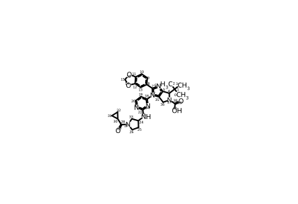 CC(C)(C)C1c2nc(-c3ccc4c(c3)OCO4)n(-c3ccnc(NC4CCN(C(=O)C5CC5)C4)n3)c2CN1C(=O)O